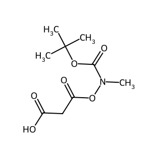 CN(OC(=O)CC(=O)O)C(=O)OC(C)(C)C